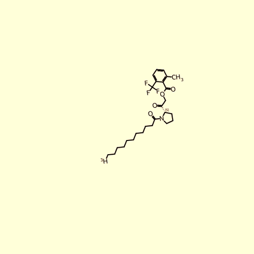 [3H]CCCCCCCCCCC(=O)N1CCC[C@H]1C(=O)COC(=O)c1c(C)cccc1C(F)(F)F